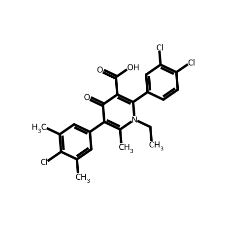 CCn1c(C)c(-c2cc(C)c(Cl)c(C)c2)c(=O)c(C(=O)O)c1-c1ccc(Cl)c(Cl)c1